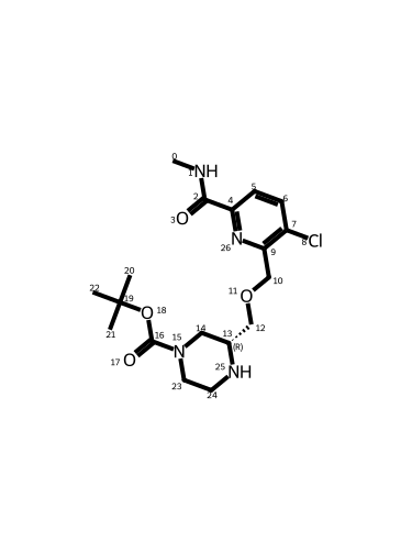 CNC(=O)c1ccc(Cl)c(COC[C@H]2CN(C(=O)OC(C)(C)C)CCN2)n1